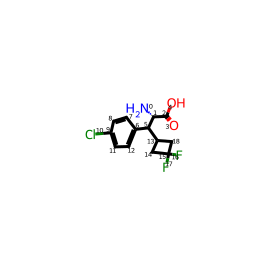 N[C@H](C(=O)O)C(c1ccc(Cl)cc1)C1CC(F)(F)C1